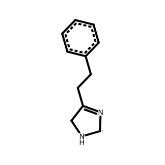 [C]1N=C(CCc2ccccc2)CN1